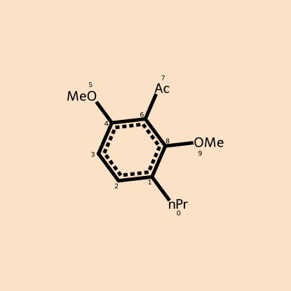 CCCc1ccc(OC)c(C(C)=O)c1OC